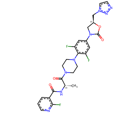 C[C@H](NC(=O)c1cccnc1F)C(=O)N1CCN(c2c(F)cc(N3C[C@@H](Cn4ccnn4)OC3=O)cc2F)CC1